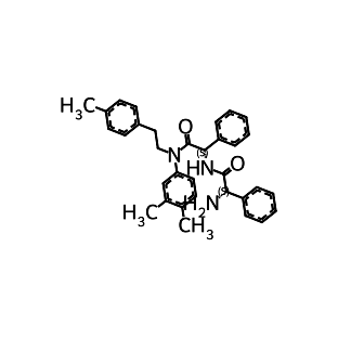 Cc1ccc(CCN(C(=O)[C@@H](NC(=O)[C@@H](N)c2ccccc2)c2ccccc2)c2ccc(C)c(C)c2)cc1